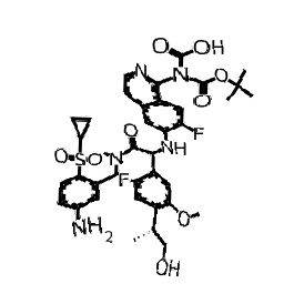 COc1cc(C(Nc2cc3ccnc(N(C(=O)O)C(=O)OC(C)(C)C)c3cc2F)C(=O)N(C)Cc2cc(N)ccc2S(=O)(=O)C2CC2)c(F)cc1[C@@H](C)CO